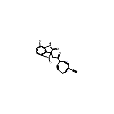 C#CC1=C/CC#CC(C(=O)CC23C(=O)Nc4c(Cl)ccc(c42)N3Cl)/C=C\1